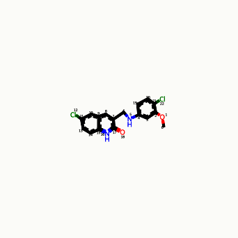 COc1cc(NCc2cc3cc(Cl)ccc3[nH]c2=O)ccc1Cl